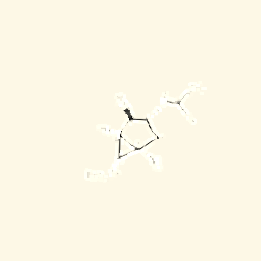 CCOC(=O)[C@H]1[C@@H]2C[C@@H](OC(C)I)C(=O)[C@@H]21